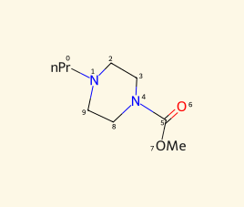 CCCN1CCN(C(=O)OC)CC1